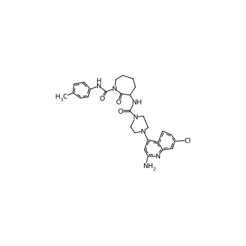 Cc1ccc(NC(=O)N2CCCCC(NC(=O)N3CCN(c4cc(N)nc5cc(Cl)ccc45)CC3)C2=O)cc1